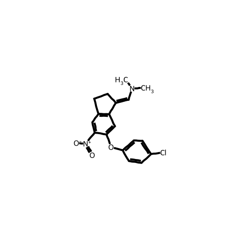 CN(C)C=C1CCc2cc([N+](=O)[O-])c(Oc3ccc(Cl)cc3)cc21